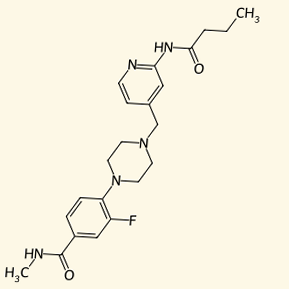 CCCC(=O)Nc1cc(CN2CCN(c3ccc(C(=O)NC)cc3F)CC2)ccn1